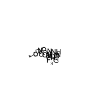 Cn1cc(-c2cccc(N3CCc4cc(C5CC5)ccc4C3=O)c2CO)nc(Nc2cnn(CC(F)(F)F)c2)c1=O